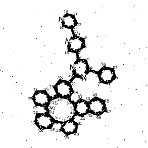 c1ccc(-c2cc(-c3ccc(-c4cccnc4)nc3)nc(-c3ccc4c5ccccc5c5ccccc5c5ccccc5c5cc6ccccc6cc5c4c3)n2)cc1